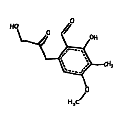 COc1cc(CC(=O)CO)c(C=O)c(O)c1C